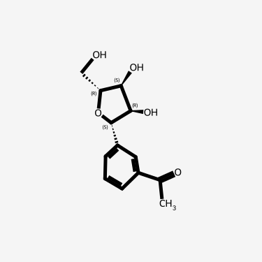 CC(=O)c1cccc([C@@H]2O[C@H](CO)[C@@H](O)[C@H]2O)c1